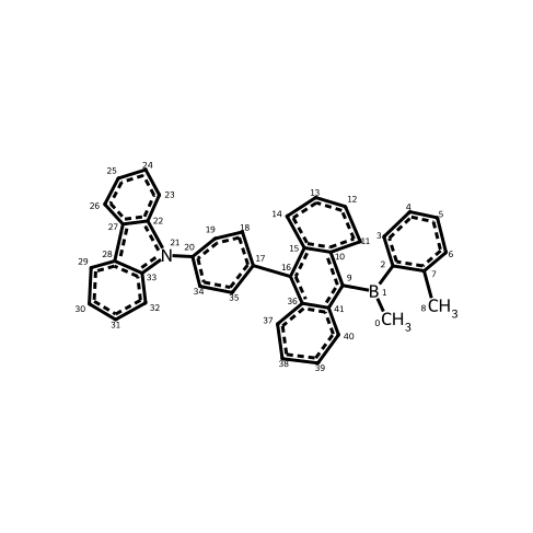 CB(c1ccccc1C)c1c2ccccc2c(-c2ccc(-n3c4ccccc4c4ccccc43)cc2)c2ccccc12